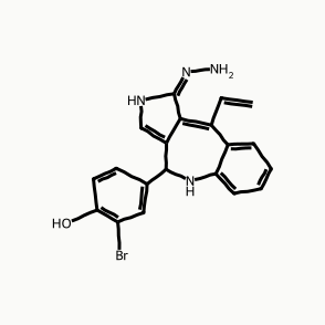 C=CC1=C2C(=CN/C2=N/N)C(c2ccc(O)c(Br)c2)Nc2ccccc21